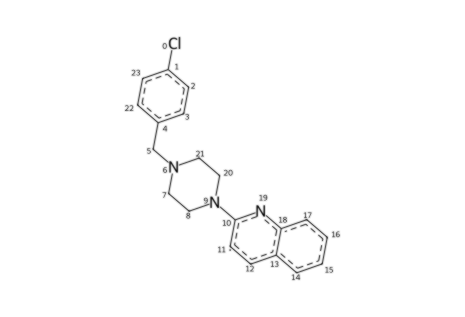 Clc1ccc(CN2CCN(c3[c]cc4ccccc4n3)CC2)cc1